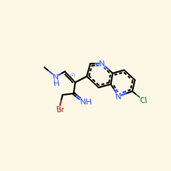 CN/C=C(\C(=N)CBr)c1cnc2ccc(Cl)nc2c1